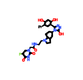 CC(C)c1cc(-c2nnc(O)n2-c2ccc3c(ccn3CCNC(=O)Cn3cc(F)c(=O)[nH]c3=O)c2)c(O)cc1O